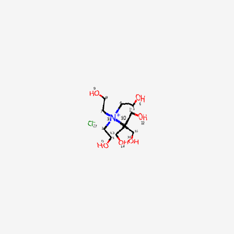 OCC[N+](CCO)(CCO)C(CO)(CO)CO.[Cl-]